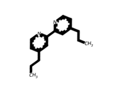 CCCc1ccnc(-c2cc(CCC)ccn2)c1